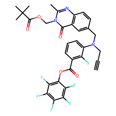 C#CCN(Cc1ccc2nc(C)n(COC(=O)C(C)(C)C)c(=O)c2c1)c1cccc(C(=O)Oc2c(F)c(F)c(F)c(F)c2F)c1F